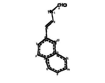 O=CNC=Cc1ccc2ccccc2n1